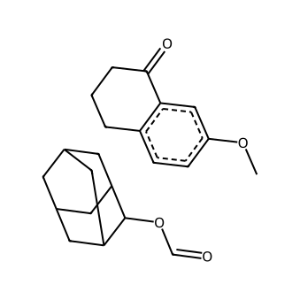 COc1ccc2c(c1)C(=O)CCC2.O=COC1C2CC3CC(C2)CC1C3